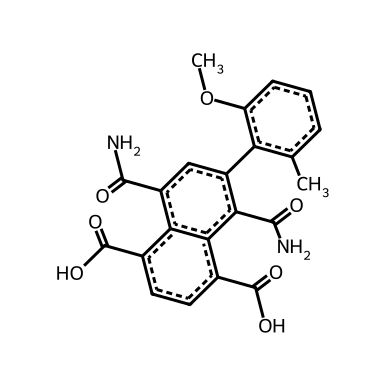 COc1cccc(C)c1-c1cc(C(N)=O)c2c(C(=O)O)ccc(C(=O)O)c2c1C(N)=O